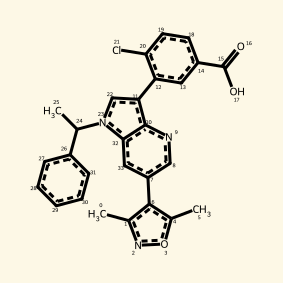 Cc1noc(C)c1-c1cnc2c(-c3cc(C(=O)O)ccc3Cl)cn(C(C)c3ccccc3)c2c1